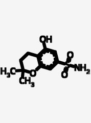 CC1(C)CCc2c(O)cc(S(N)(=O)=O)cc2O1